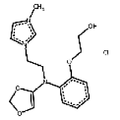 Cn1cc[n+](CCN(C2=COCO2)c2ccccc2OCCO)c1.[Cl-]